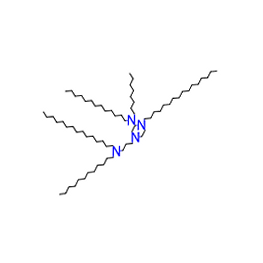 CCCCCCCCCCCCCCCCN1CCN(CCCN(CCCCCCCCCCCC)CCCCCCCCCCCCCCC)CC1N(CCCCCCCC)CCCCCCCCCCCCC